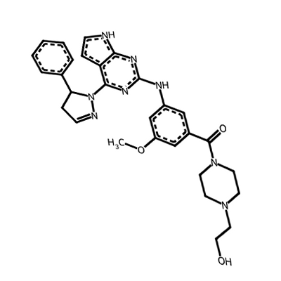 COc1cc(Nc2nc(N3N=CCC3c3ccccc3)c3cc[nH]c3n2)cc(C(=O)N2CCN(CCO)CC2)c1